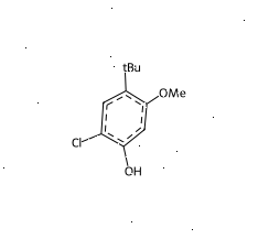 COc1cc(O)c(Cl)cc1C(C)(C)C